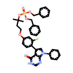 CC(C)(CCOc1ccc(-c2cn(-c3ccccc3)c3nc[nH]c(=O)c23)c(F)c1)OP(=O)(OCc1ccccc1)OCc1ccccc1